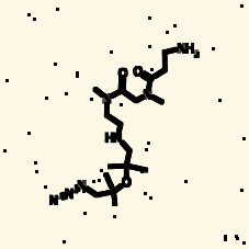 CN(CCNCC(C)(C)OC(C)(C)CN=[N+]=[N-])C(=O)CN(C)C(=O)CCN